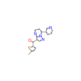 Cc1ccc(C(=O)c2cnn3c(-c4cccnc4)ccnc23)s1